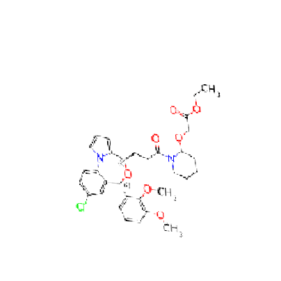 CCOC(=O)COC1CCCCN1C(=O)CC[C@H]1O[C@H](c2cccc(OC)c2OC)c2cc(Cl)ccc2-n2cccc21